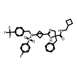 O=C(NCC1CCC1)C1(Cc2ccccc2)CN=C(C23CC(N(Cc4ccc(C(F)(F)F)cc4)S(=O)(=O)c4ccc(F)cc4)(C2)C3)N1